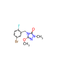 COc1nn(C)c(=O)n1Cc1cc(Br)ccc1F